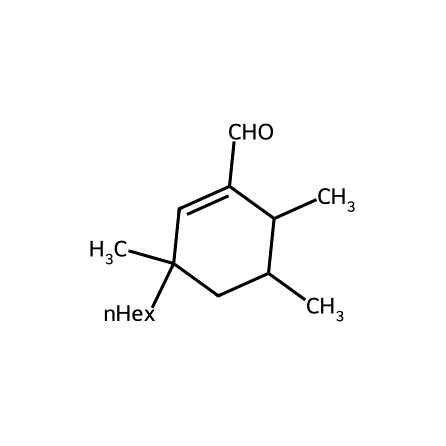 CCCCCCC1(C)C=C(C=O)C(C)C(C)C1